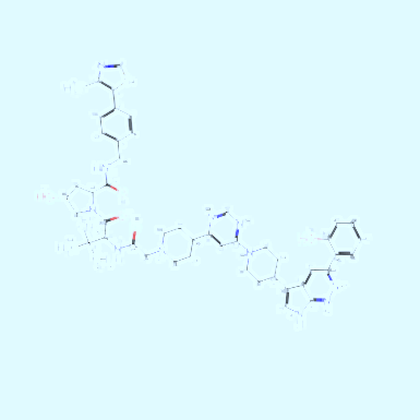 Cc1ncsc1-c1ccc(CNC(=O)[C@@H]2C[C@@H](O)CN2C(=O)C(NC(=O)CN2CCC(c3cc(N4CCC(c5c[nH]c6nnc(-c7ccccc7O)cc56)CC4)ncn3)CC2)C(C)(C)C)cc1